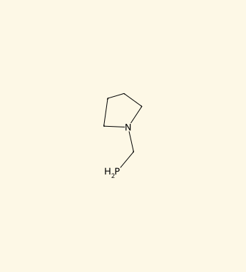 PCN1CCCC1